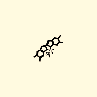 CC1=Cc2cc(C)c(C)cc2[CH]1[Zr]([CH3])([CH3])([CH]1C(C)=Cc2cc(C)c(C)cc21)[SiH](C)C